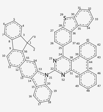 CC1(C)c2ccccc2-c2ccc3cc4c5ccccc5n(-c5nc(-c6ccc7sc8ccccc8c7c6)c6c7ccccc7c7ccccc7c6n5)c4cc3c21